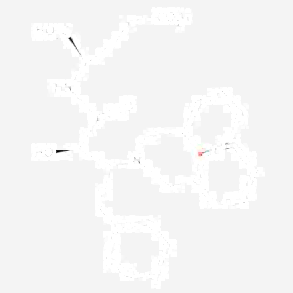 O=C(O)CC[C@@H](NC(=O)[C@H](O)[C@@H](Cc1ccccc1)N(Cc1ccccc1)Cc1ccccc1)C(=O)O